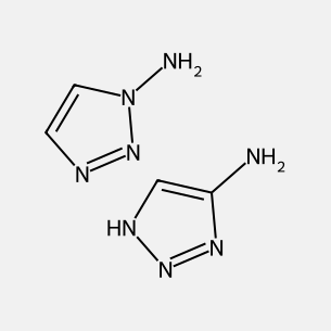 Nc1c[nH]nn1.Nn1ccnn1